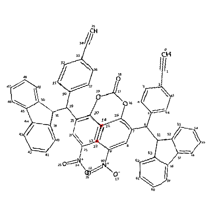 C#Cc1ccc(C(c2cc([N+](=O)[O-])ccc2OC(=O)Oc2ccc([N+](=O)[O-])cc2C(c2ccc(C#C)cc2)C2c3ccccc3-c3ccccc32)C2c3ccccc3-c3ccccc32)cc1